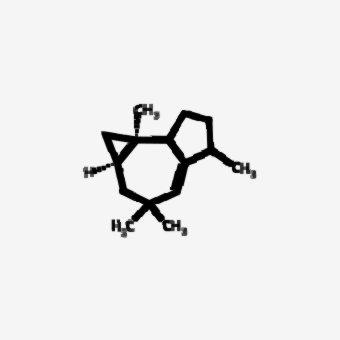 CC1CCC2C1=CC(C)(C)C[C@H]1C[C@@]21C